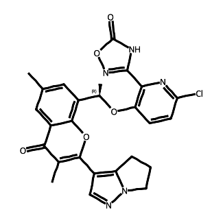 Cc1cc([C@@H](C)Oc2ccc(Cl)nc2-c2noc(=O)[nH]2)c2oc(-c3cnn4c3CCC4)c(C)c(=O)c2c1